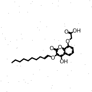 CCCCCCCC/C=C/Oc1c(O)c2cccc(OCC(=O)O)c2oc1=O